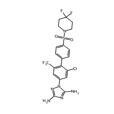 Nc1nc(N)n(-c2cc(Cl)c(-c3ccc(S(=O)(=O)N4CCC(F)(F)CC4)cc3)c(C(F)(F)F)c2)n1